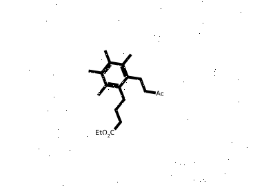 CCOC(=O)CCCc1c(C)c(C)c(C)c(C)c1CCC(C)=O